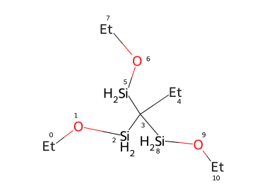 CCO[SiH2]C(CC)([SiH2]OCC)[SiH2]OCC